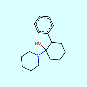 OC1(N2CCCCC2)CCCCC1c1ccccc1